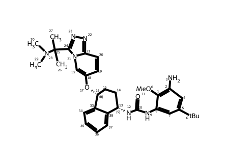 COc1c(N)cc(C(C)(C)C)cc1NC(=O)N[C@H]1CC[C@@H](Oc2ccc3nnc(C(C)(C)N(C)C)n3c2)c2ccccc21